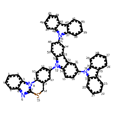 c1ccc2c(c1)nc1n2-c2ccc(-n3c4ccc(-n5c6ccccc6c6ccccc65)cc4c4cc(-n5c6ccccc6c6ccccc65)ccc43)cc2CS1